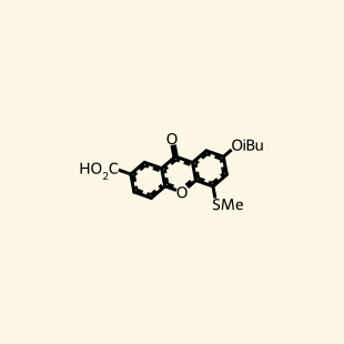 CSc1cc(OCC(C)C)cc2c(=O)c3cc(C(=O)O)ccc3oc12